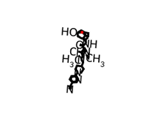 CN(CC1CCN(c2ccc(C#N)cn2)CC1)c1c(Cl)c(C(=O)NC2C3CC4CC2CC(O)(C4)C3)nn1C